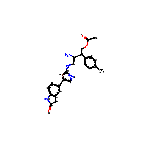 CC(C)(C)C(=O)OCC(c1ccc(C(F)(F)F)cc1)C(N)CNc1ncc(-c2ccc3c(c2)CC(=O)N3)s1